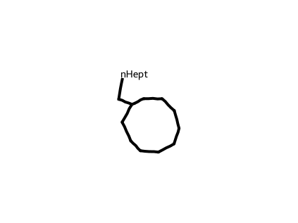 CCCCCCCC[C]1CCCCCCCCC1